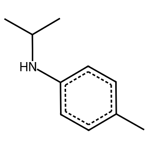 Cc1ccc(NC(C)C)cc1